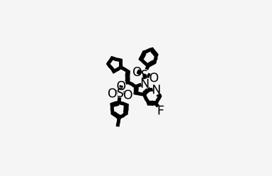 Cc1ccc(S(=O)(=O)OC(=CC2CCCC2)c2cc3cc(F)cnc3n2S(=O)(=O)c2ccccc2)cc1